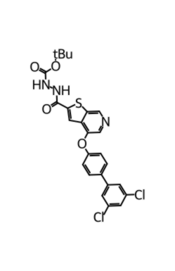 CC(C)(C)OC(=O)NNC(=O)c1cc2c(Oc3ccc(-c4cc(Cl)cc(Cl)c4)cc3)cncc2s1